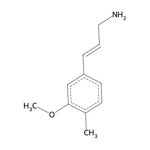 COc1cc(/C=C/CN)ccc1C